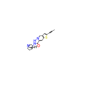 CC#Cc1cc2cnc(C(=O)N[C@H]3CN4CCC3CC4)cc2s1